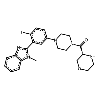 Cn1c(-c2cc(N3CCN(C(=O)[C@@H]4COCCN4)CC3)ccc2F)nc2ccccc21